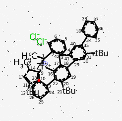 C/[C](c1ccccc1)=[Zr+2](\[C]1=CC(C(C)(C)C)=CC1C)[c]1c2c(cc(C(C)(C)C)c1-c1ccccc1)-c1cc(C(C)(C)C)c(-c3ccccc3)cc1C2.[Cl-].[Cl-]